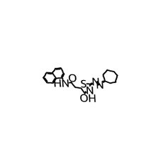 O=C(CC1S/C(=N/N=C2CCCCCC2)N=C1O)Nc1cccc2ccccc12